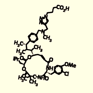 COc1ccc(C[C@H]2NC(=O)/C=C/C[C@@H](C(C)[C@@H](C)[C@H](C)c3ccc(CN(C)Cc4cn(CCCC(=O)O)nn4)cc3)OC(=O)[C@H](CC(C)C)OC(=O)C(C)(C)CNC2=O)cc1Cl